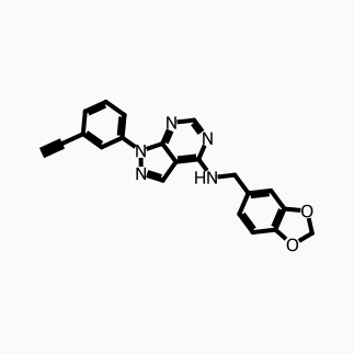 C#Cc1cccc(-n2ncc3c(NCc4ccc5c(c4)OCO5)ncnc32)c1